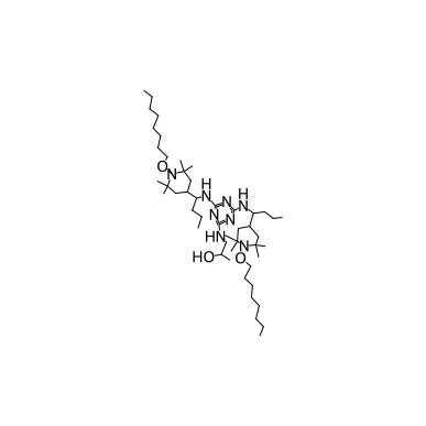 CCCCCCCCON1C(C)(C)CC(C(CCC)Nc2nc(NCC(C)O)nc(NC(CCC)C3CC(C)(C)N(OCCCCCCCC)C(C)(C)C3)n2)CC1(C)C